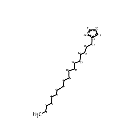 CCCCCCCCCCCCCCCCCCc1cc[c]s1